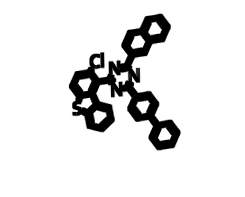 Clc1ccc2sc3ccccc3c2c1-c1nc(-c2ccc(-c3ccccc3)cc2)nc(-c2ccc3ccccc3c2)n1